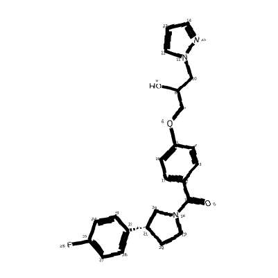 O=C(c1ccc(OCC(O)Cn2cccn2)cc1)N1CC[C@H](c2ccc(F)cc2)C1